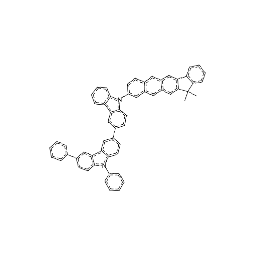 CC1(C)c2ccccc2-c2cc3cc4ccc(-n5c6ccccc6c6cc(-c7ccc8c(c7)c7cc(-c9ccccc9)ccc7n8-c7ccccc7)ccc65)cc4cc3cc21